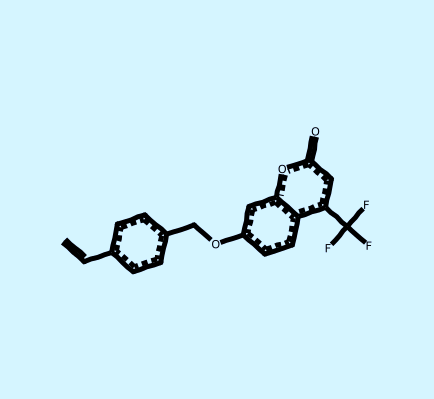 C=Cc1ccc(COc2ccc3c(C(F)(F)F)cc(=O)oc3c2)cc1